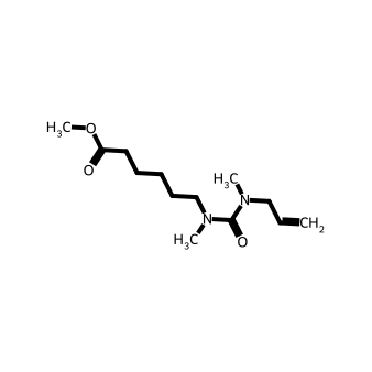 C=CCN(C)C(=O)N(C)CCCCCC(=O)OC